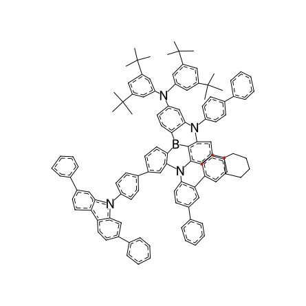 CC(C)(C)c1cc(N(c2cc(C(C)(C)C)cc(C(C)(C)C)c2)c2ccc3c(c2)N(c2ccc(-c4ccccc4)cc2)c2cc(C4CCCCC4)cc4c2B3c2ccc(-c3ccc(-n5c6cc(-c7ccccc7)ccc6c6ccc(-c7ccccc7)cc65)cc3)cc2N4c2ccc(-c3ccccc3)cc2-c2ccccc2)cc(C(C)(C)C)c1